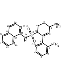 Cc1cccnc1C1=CC(N)CCC1S(=O)(=O)Nc1nccc2cccnc12